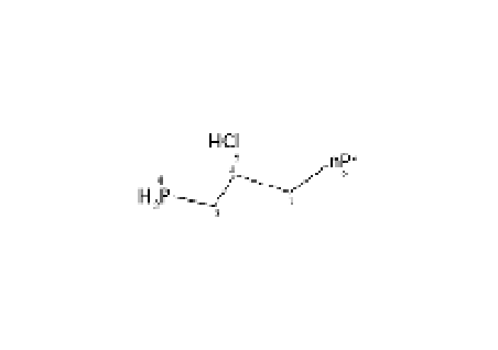 CCCCCCP.Cl